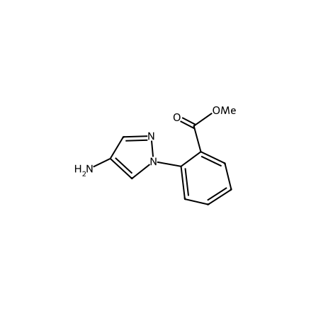 COC(=O)c1ccccc1-n1cc(N)cn1